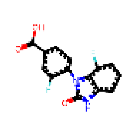 O=C(O)c1ccc(-n2c(=O)[nH]c3cccc(F)c32)c(F)c1